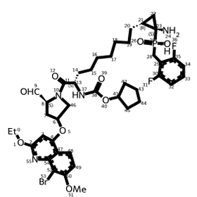 CCOc1cc(OC2C[C@@H](C=O)N(C(=O)[C@H](CCCCCCC[C@@H]3C[C@]3(N)P(=O)(O)Cc3c(F)cccc3F)NC(=O)OC3CCCC3)C2)c2ccc(OC)c(Br)c2n1